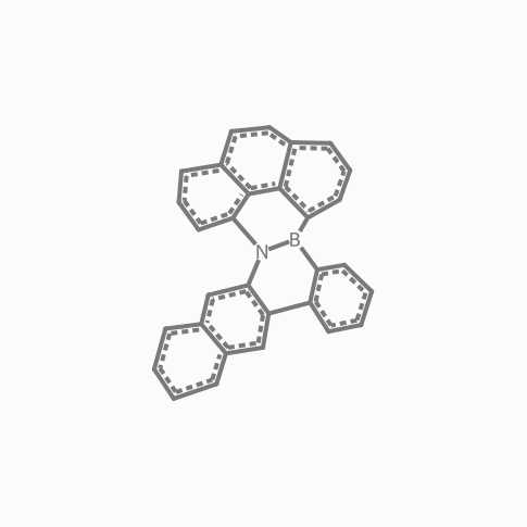 c1ccc2c(c1)B1c3cccc4ccc5cccc(c5c34)N1c1cc3ccccc3cc1-2